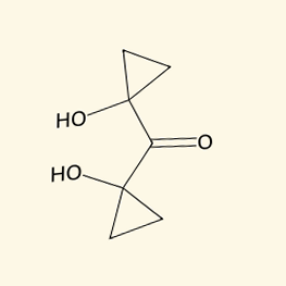 O=C(C1(O)CC1)C1(O)CC1